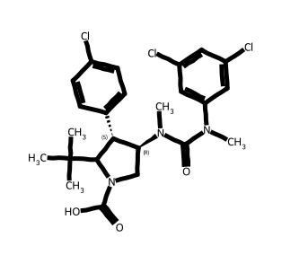 CN(C(=O)N(C)[C@H]1CN(C(=O)O)C(C(C)(C)C)[C@@H]1c1ccc(Cl)cc1)c1cc(Cl)cc(Cl)c1